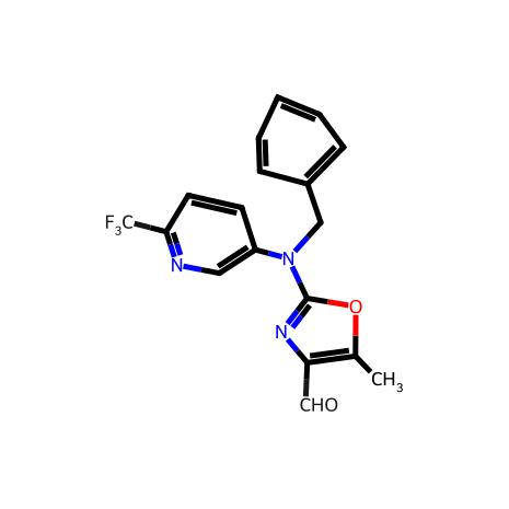 Cc1oc(N(Cc2ccccc2)c2ccc(C(F)(F)F)nc2)nc1C=O